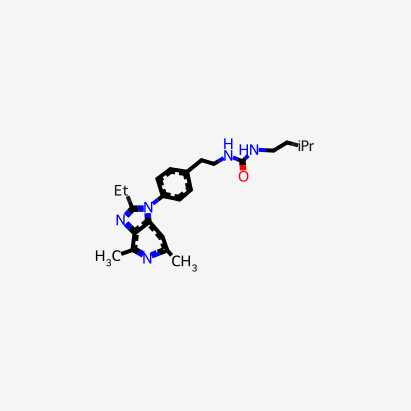 CCc1nc2c(C)nc(C)cc2n1-c1ccc(CCNC(=O)NCCC(C)C)cc1